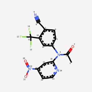 CC(=O)N(c1ccc(C#N)c(C(F)(F)F)c1)c1cc([N+](=O)[O-])ccn1